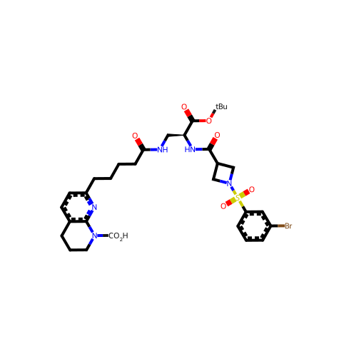 CC(C)(C)OC(=O)[C@H](CNC(=O)CCCCc1ccc2c(n1)N(C(=O)O)CCC2)NC(=O)C1CN(S(=O)(=O)c2cccc(Br)c2)C1